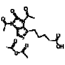 CC(=O)OC(C)=O.CC(=O)n1c(=O)n(C(C)=O)c2c(CCCCC(=O)O)scc21